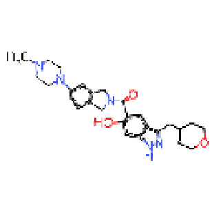 CN1CCN(c2ccc3c(c2)CN(C(=O)c2cc4c(CC5CCOCC5)n[nH]c4cc2O)C3)CC1